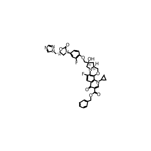 O=C(OCc1ccccc1)c1cn(C2CC2)c2c3c(c(F)cc2c1=O)N1C[C@](O)(COc2ccc(N4C[C@H](Cn5cncn5)OC4=O)cc2F)C[C@H]1CO3